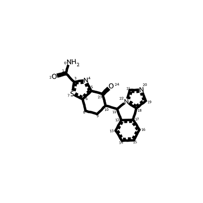 NC(=O)c1nc2c(s1)CCC(C1c3ccccc3-c3cncn31)C2=O